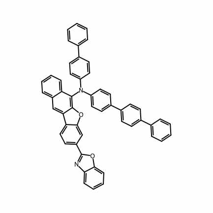 c1ccc(-c2ccc(-c3ccc(N(c4ccc(-c5ccccc5)cc4)c4c5ccccc5cc5c4oc4cc(-c6nc7ccccc7o6)ccc45)cc3)cc2)cc1